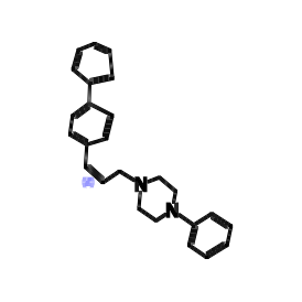 C(=C/c1ccc(-c2ccccc2)cc1)/CN1CCN(c2ccccc2)CC1